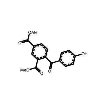 COC(=O)c1ccc(C(=O)c2ccc(O)cc2)c(C(=O)OC)c1